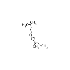 CCCN(C)[C@H]1C[C@H](OCCCC(C)C)C1